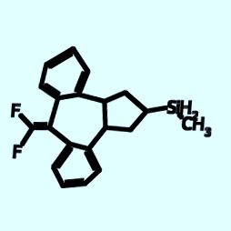 C[SiH2]C1CC2c3ccccc3C(=C(F)F)c3ccccc3C2C1